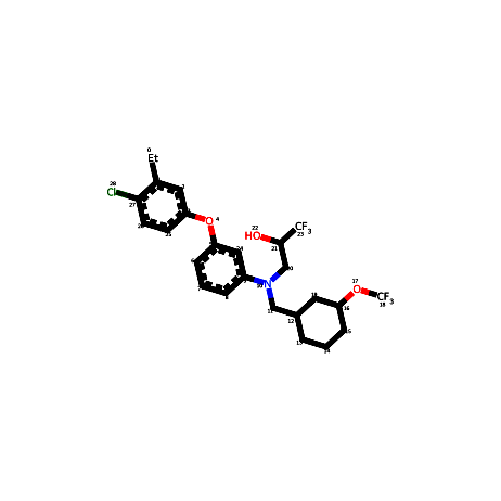 CCc1cc(Oc2cccc(N(CC3CCCC(OC(F)(F)F)C3)CC(O)C(F)(F)F)c2)ccc1Cl